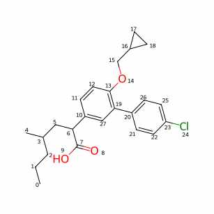 CCCC(C)CC(C(=O)O)c1ccc(OCC2CC2)c(-c2ccc(Cl)cc2)c1